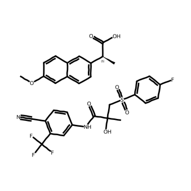 CC(O)(CS(=O)(=O)c1ccc(F)cc1)C(=O)Nc1ccc(C#N)c(C(F)(F)F)c1.COc1ccc2cc([C@H](C)C(=O)O)ccc2c1